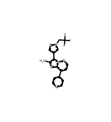 Cc1nc2c(-c3ccncc3)ccnn2c1-c1cnn(CC(F)(F)F)c1